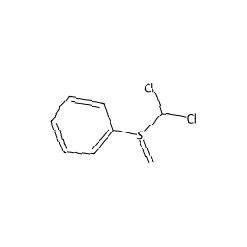 C=S(c1ccccc1)C(Cl)Cl